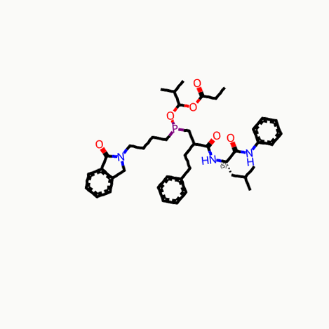 CCC(=O)OC(OP(CCCCN1Cc2ccccc2C1=O)CC(CCc1ccccc1)C(=O)N[C@@H](CC(C)C)C(=O)Nc1ccccc1)C(C)C